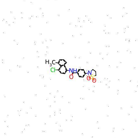 Cc1cccc2c(NC(=O)c3ccc(N4CCCS4(=O)=O)cc3)ccc(Cl)c12